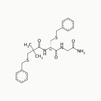 CC(C)(CSCc1ccccc1)C(=O)N[C@H](CSCc1ccccc1)C(=O)NCC(N)=O